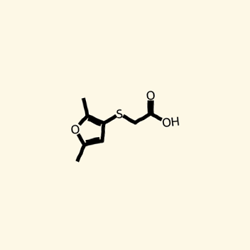 Cc1cc(SCC(=O)O)c(C)o1